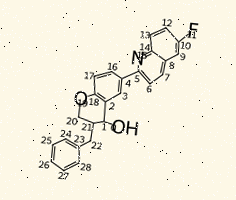 OC1c2cc(-c3ccc4cc(F)ccc4n3)ccc2OCC1Cc1ccccc1